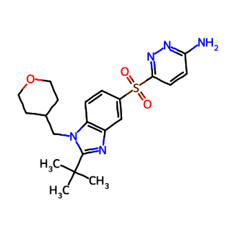 CC(C)(C)c1nc2cc(S(=O)(=O)c3ccc(N)nn3)ccc2n1CC1CCOCC1